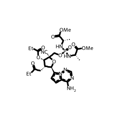 CCC(=O)C[C@H]1[C@H](c2ccc3c(N)ncnn23)O[C@](C#N)(COP(=O)(N[C@@H](C)C(=O)OC)N[C@@H](C)C(=O)OC)[C@H]1OC(=O)CC